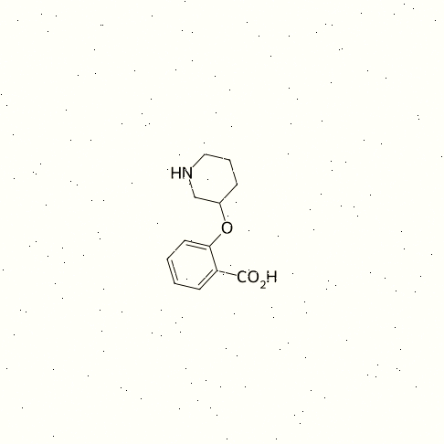 O=C(O)c1ccccc1OC1CCCNC1